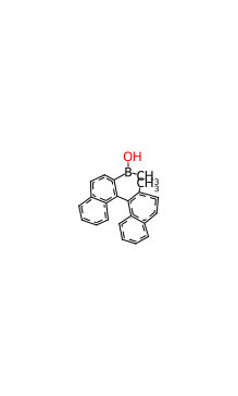 CB(O)c1ccc2ccccc2c1-c1c(C)ccc2ccccc12